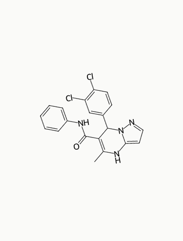 CC1=C(C(=O)Nc2ccccc2)C(c2ccc(Cl)c(Cl)c2)n2nccc2N1